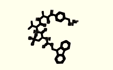 CC(C)[C@H](NC(=O)[C@H](CS(=O)(=O)[O-])NC(=O)OCC1c2ccccc2-c2ccccc21)C(=O)N[C@@H](C)C(=O)Nc1ccc(CO)cc1.[Na+]